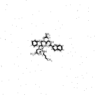 CCCCNS(=O)(=O)N(CC(C)C)C[C@@H](O)[C@H](Cc1ccccc1)NC(=O)[C@H](CC(N)=O)NC(=O)c1ccc2ccccc2n1